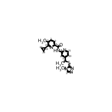 Cc1ccc(C(=O)Nc2cc([C@H](C)Sc3nncn3C)ccn2)nc1C1CC1